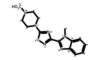 Cn1c(-c2noc(N3CCN(C(=O)O)CC3)n2)nc2ccccc21